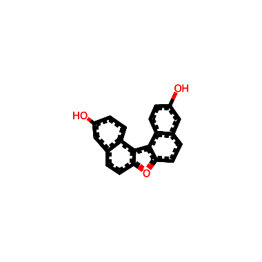 Oc1ccc2c(ccc3oc4ccc5cc(O)ccc5c4c32)c1